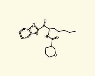 CCCCCC(NC(=O)C1CCCOC1)C(=O)c1nc2ccccc2s1